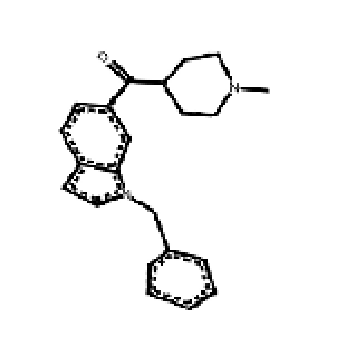 CN1CCC(C(=O)c2ccc3ccn(Cc4ccccc4)c3c2)CC1